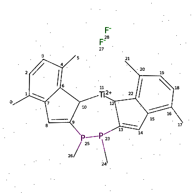 Cc1ccc(C)c2c1C=C1[CH]2[Ti+2][CH]2C(=Cc3c(C)ccc(C)c32)P(C)P1C.[F-].[F-]